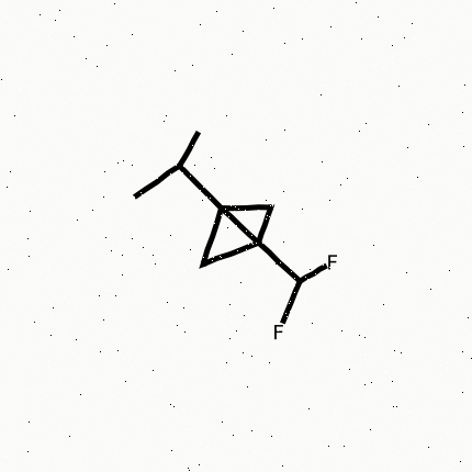 CC(C)C12CC1(C(F)F)C2